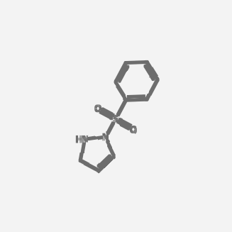 O=S(=O)(c1ccccc1)N1C=CCN1